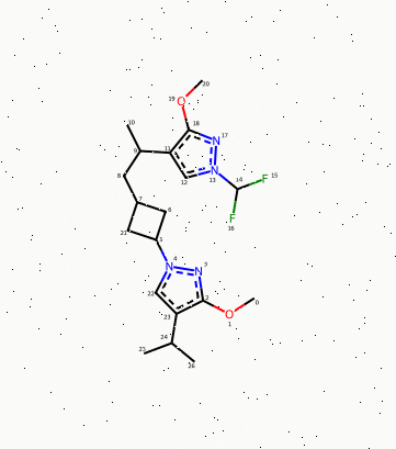 COc1nn(C2CC(CC(C)c3cn(C(F)F)nc3OC)C2)cc1C(C)C